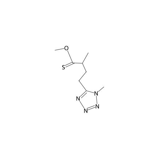 COC(=S)C(C)CCc1nnnn1C